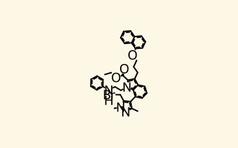 CCOC(=O)c1c(CCCOc2cccc3ccccc23)c2cccc(-c3c(C)nn(C)c3CBr)c2n1CCNc1ccccc1